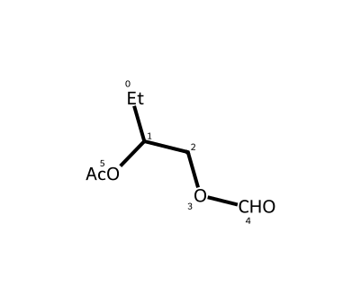 CCC(COC=O)OC(C)=O